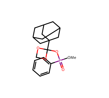 COP(=O)(OC1(C23CC4CC(CC(C4)C2)C3)OCO1)c1ccccc1